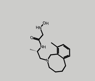 Cc1cccc2c1CN(C[C@H](C)NC(=O)CNO)CCCC2